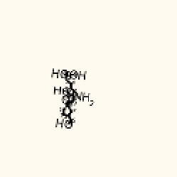 N[C@](CCCCB(O)O)(CCN1CCC(CO)C1)C(=O)O